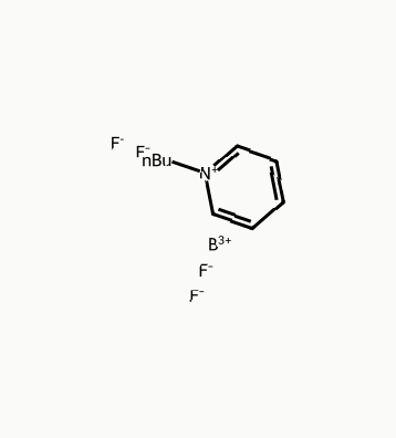 CCCC[n+]1ccccc1.[B+3].[F-].[F-].[F-].[F-]